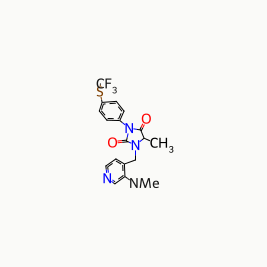 CNc1cnccc1CN1C(=O)N(c2ccc(SC(F)(F)F)cc2)C(=O)C1C